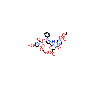 CCOC(=O)ON1CCN(C(=O)[C@H](CCC(=O)O)NC(=O)c2cc(OCC(=O)N3C[C@H](O)C[C@H]3C(=O)OCC)n(-c3ccccc3)n2)CC1